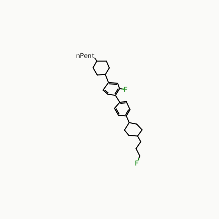 CCCCCC1CCC(c2ccc(-c3ccc(C4CCC(CCCF)CC4)cc3)c(F)c2)CC1